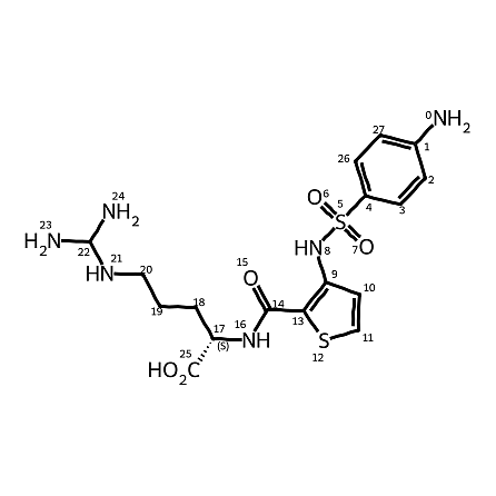 Nc1ccc(S(=O)(=O)Nc2ccsc2C(=O)N[C@@H](CCCNC(N)N)C(=O)O)cc1